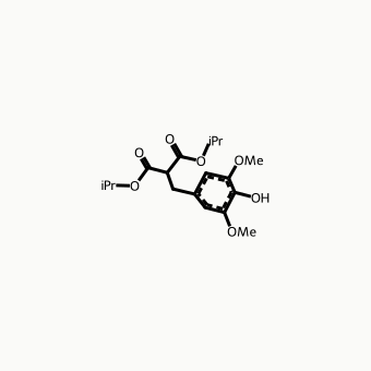 COc1cc(CC(C(=O)OC(C)C)C(=O)OC(C)C)cc(OC)c1O